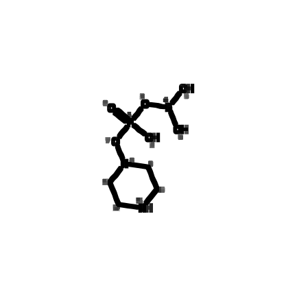 O=P(O)(OB(O)O)ON1CCNCC1